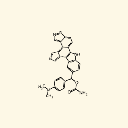 CN(C)c1ccc(C(OC(N)=O)c2ccc3[nH]c4c5ccc6c(c5c5c(c4c3c2)=CN=C5)=CN=N6)cc1